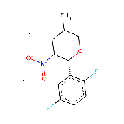 CC1CO[C@H](c2cc(F)ccc2F)C([N+](=O)[O-])C1